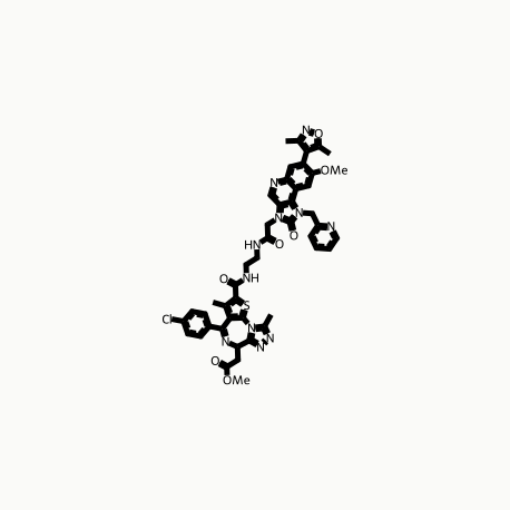 COC(=O)CC1N=C(c2ccc(Cl)cc2)c2c(sc(C(=O)NCCNC(=O)Cn3c(=O)n(Cc4ccccn4)c4c5cc(OC)c(-c6c(C)noc6C)cc5ncc43)c2C)-n2c(C)nnc21